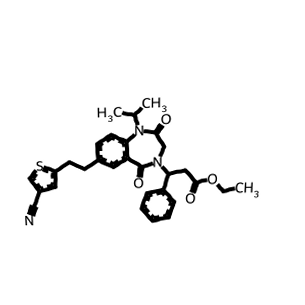 CCOC(=O)CC(c1ccccc1)N1CC(=O)N(C(C)C)c2ccc(CCc3cc(C#N)cs3)cc2C1=O